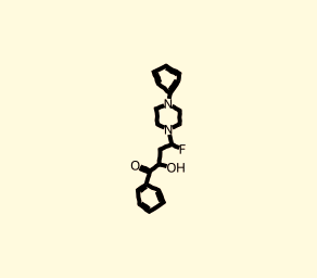 O=C(c1ccccc1)C(O)CC(F)N1CCN(c2ccccc2)CC1